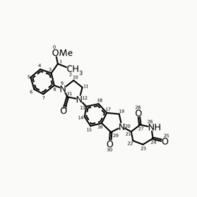 COC(C)c1ccccc1N1CCN(c2ccc3c(c2)CN(C2CCC(=O)NC2=O)C3=O)C1=O